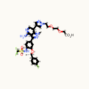 C[C@H](Oc1cc(-c2nn(C)c3c(-c4cnn(CCOCCOCC(=O)O)c4)cnc(N)c23)ccc1NS(=O)(=O)C(F)F)c1ccc(F)cc1